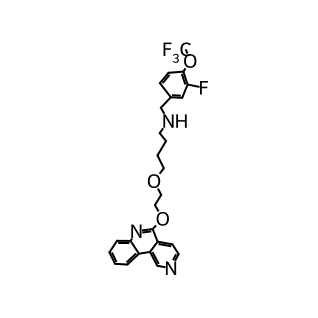 Fc1cc(CNCCCCOCCOc2nc3ccccc3c3cnccc23)ccc1OC(F)(F)F